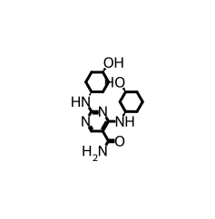 NC(=O)c1cnc(N[C@H]2CC[C@H](O)CC2)nc1N[C@@H]1CCC[C@H](O)C1